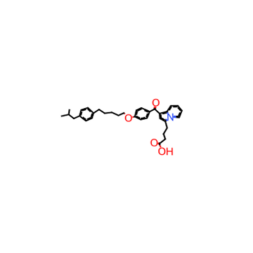 CC(C)Cc1ccc(CCCCCOc2ccc(C(=O)c3cc(CCCC(=O)O)n4ccccc34)cc2)cc1